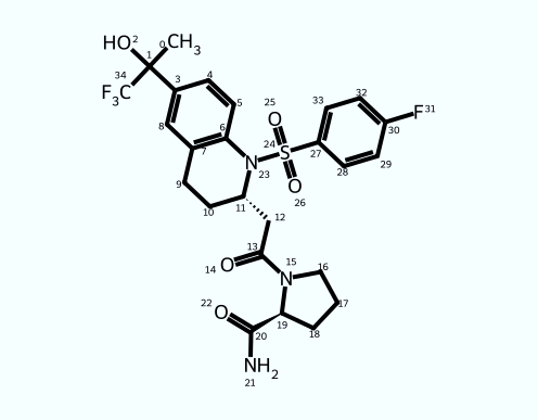 CC(O)(c1ccc2c(c1)CC[C@@H](CC(=O)N1CCC[C@H]1C(N)=O)N2S(=O)(=O)c1ccc(F)cc1)C(F)(F)F